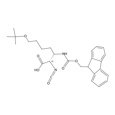 CC(C)(C)OCCCCC(NC(=O)OCC1c2ccccc2-c2ccccc21)[C@H](N=C=O)C(=O)O